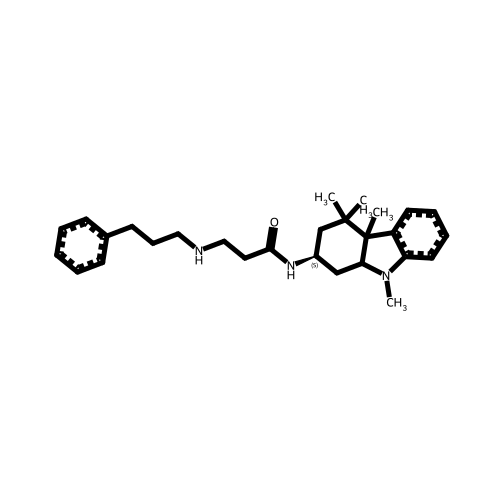 CN1c2ccccc2C2(C)C1C[C@@H](NC(=O)CCNCCCc1ccccc1)CC2(C)C